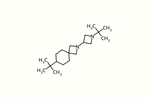 CC(C)(C)C1CCC2(CC1)CN(C1CN(C(C)(C)C)C1)C2